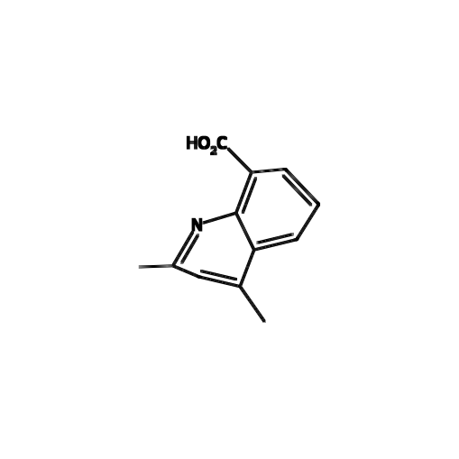 Cc1cc(C)c2cccc(C(=O)O)c2n1